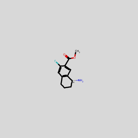 COC(=O)c1cc2c(cc1F)CCC[C@H]2N